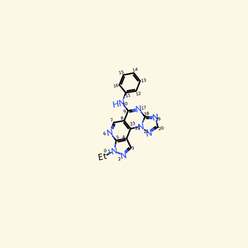 CCn1ncc2c1ncc1c(Nc3ccccc3)nc3ncnn3c12